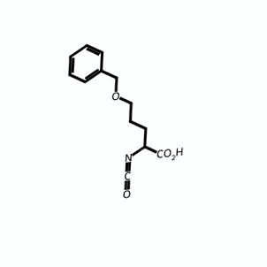 O=C=NC(CCCOCc1ccccc1)C(=O)O